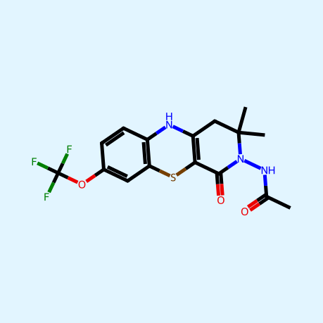 CC(=O)NN1C(=O)C2=C(CC1(C)C)Nc1ccc(OC(F)(F)F)cc1S2